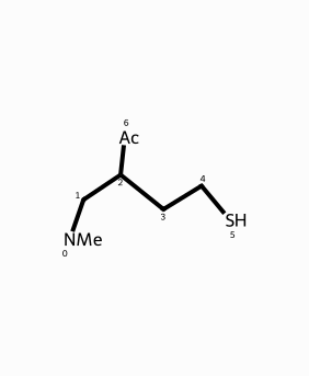 CNCC(CCS)C(C)=O